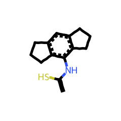 C=C(S)Nc1c2c(cc3c1CCC3)CCC2